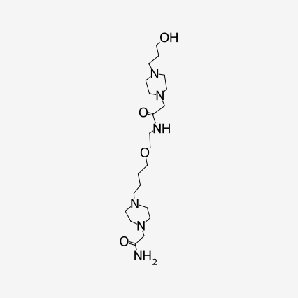 NC(=O)CN1CCN(CCCCOCCNC(=O)CN2CCN(CCCO)CC2)CC1